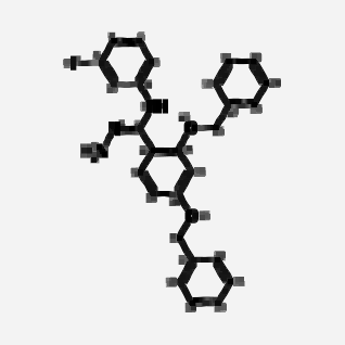 NN=C(Nc1cccc(F)c1)c1ccc(OCc2ccccc2)cc1OCc1ccccc1